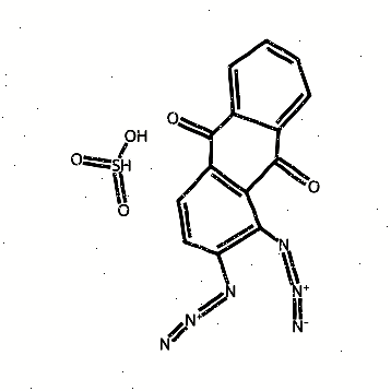 O=[SH](=O)O.[N-]=[N+]=Nc1ccc2c(c1N=[N+]=[N-])C(=O)c1ccccc1C2=O